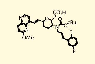 COc1ccc2nccc(C=C[C@@H]3CC[C@@H](N(CC=Cc4cc(F)ccc4F)C(=O)OC(C)(C)C)[C@@H](CC(=O)O)O3)c2n1